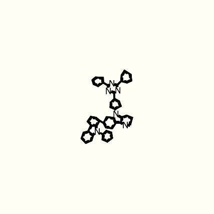 c1ccc(-c2nc(-c3ccccc3)nc(-c3ccc(-n4c5cc(-c6cccc7c8ccccc8n(-c8ccccc8)c67)ccc5c5ncccc54)cc3)n2)cc1